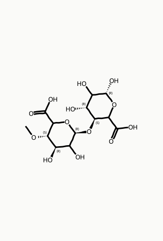 CO[C@@H]1C(C(=O)O)O[C@@H](O[C@@H]2C(C(=O)O)O[C@@H](O)C(O)[C@H]2O)C(O)[C@H]1O